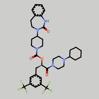 O=C(O[C@H](Cc1cc(C(F)(F)F)cc(C(F)(F)F)c1)C(=O)N1CCN(C2CCCCC2)CC1)N1CCC(N2CCc3ccccc3NC2=O)CC1